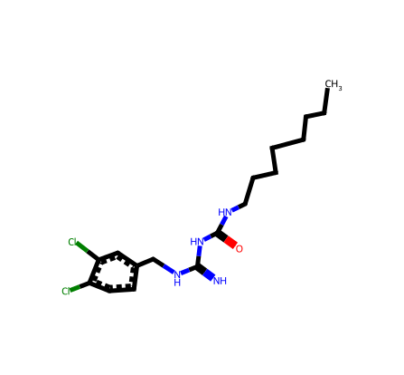 CCCCCCCCNC(=O)NC(=N)NCc1ccc(Cl)c(Cl)c1